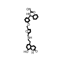 O=NC(=O)NC(c1ccccc1)c1cccc(OCc2ccc(CNCCc3ccc(O)c4[nH]c(=O)ccc34)o2)c1